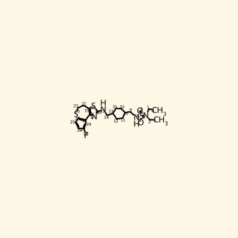 CCN(CC)S(=O)(=O)NCC1CCC(CNc2nc3c(s2)CCSc2ccc(F)cc2-3)CC1